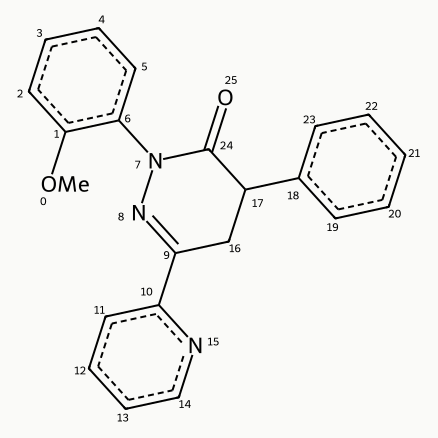 COc1ccccc1N1N=C(c2ccccn2)CC(c2ccccc2)C1=O